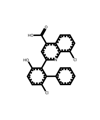 O=C(O)c1cc(-c2c(O)ccc(Cl)c2-c2ccccc2)nc2c(Cl)cccc12